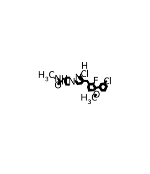 CCNC(=O)N1CCN(c2ccc(Cc3ccc(OC)c(-c4cccc(Cl)c4)c3F)cn2)CC1.Cl